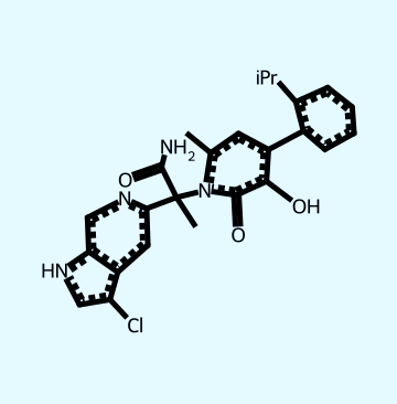 Cc1cc(-c2ccccc2C(C)C)c(O)c(=O)n1C(C)(C(N)=O)c1cc2c(Cl)c[nH]c2cn1